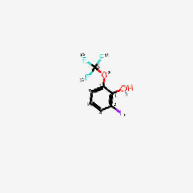 Oc1c(I)cccc1OC(F)(F)F